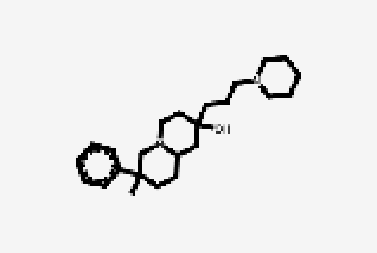 CC1(c2ccccc2)CCC2CC(O)(CCCN3CCCCC3)CCN2C1